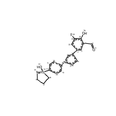 O=Cc1cc(-c2cnn(-c3ccc([SH]4(O)=NCCC4)cc3)c2)cc(F)c1O